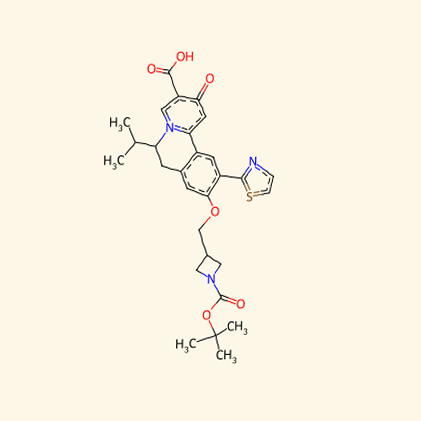 CC(C)C1Cc2cc(OCC3CN(C(=O)OC(C)(C)C)C3)c(-c3nccs3)cc2-c2cc(=O)c(C(=O)O)cn21